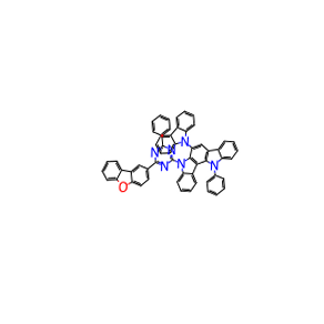 c1ccc(-c2nc(-c3ccc4oc5ccccc5c4c3)nc(-n3c4ccccc4c4c3c(-n3c5ccccc5c5ccccc53)cc3c5ccccc5n(-c5ccccc5)c34)n2)cc1